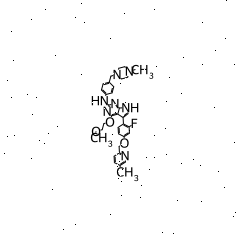 COCCOc1nc(Nc2ccc(CN3CCN(C)CC3)cc2)nc2[nH]cc(-c3ccc(OCc4ccc(C)cn4)cc3F)c12